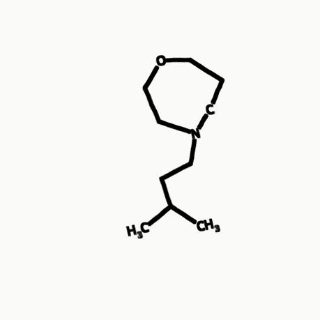 CC(C)CCN1CCCOCC1